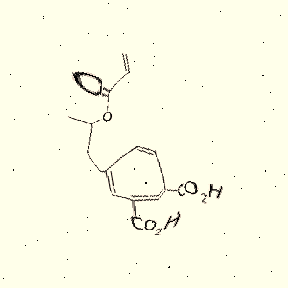 C=CC(=O)OC(C)Cc1ccc(C(=O)O)c(C(=O)O)c1